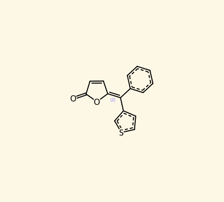 O=C1C=C/C(=C(\c2ccccc2)c2ccsc2)O1